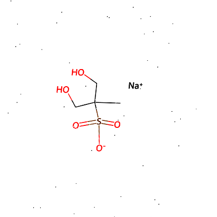 CC(CO)(CO)S(=O)(=O)[O-].[Na+]